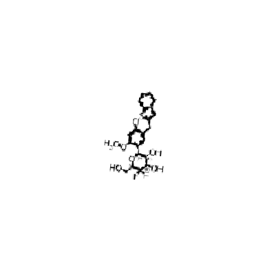 COc1cc(Cl)c(Cc2cc3ccccc3s2)cc1[C@@H]1O[C@H](CO)C(F)(F)[C@H](O)[C@H]1O